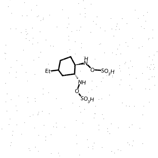 CCC1CC[C@@H](NOS(=O)(=O)O)[C@H](NOS(=O)(=O)O)C1